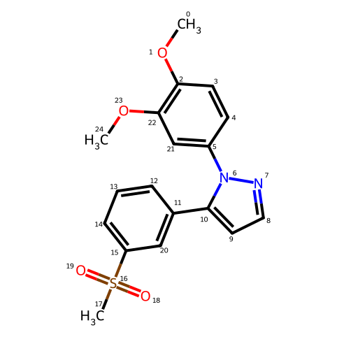 COc1ccc(-n2nccc2-c2cccc(S(C)(=O)=O)c2)cc1OC